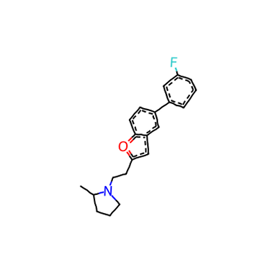 CC1CCCN1CCc1cc2cc(-c3cccc(F)c3)ccc2o1